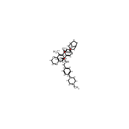 Cc1c(C(=O)NC2CC3CCC(C2)N3c2ccc(C(=O)NCc3ccc(N4CCN(C)CC4)cc3)cn2)ccc2c1OCCO2